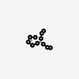 c1ccc(-c2cccc3c2sc2c(-c4cccc(-c5ccc(N(c6ccc(-c7ccc8ccccc8c7)cc6)c6ccc(-c7ccc8ccccc8c7)cc6)cc5)c4)cccc23)cc1